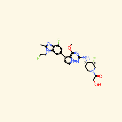 COc1nc(N[C@H]2CCN(C(=O)CO)C[C@H]2F)nn2ccc(-c3cc(F)c4nc(C)n(CCF)c4c3)c12